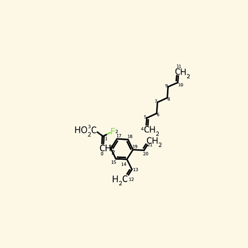 C=C(F)C(=O)O.C=CCCCCC=C.C=Cc1ccccc1C=C